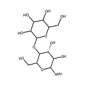 CNC1OC(CO)C(OC2OC(CO)C(O)C(O)C2O)[C@H](O)C1O